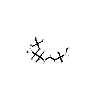 COC(C)(C)CCOC(C)(C)C(C)(P)CC(C)(C)I